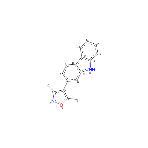 Cc1noc(C)c1-c1ccc2c(c1)[nH]c1ccccc12